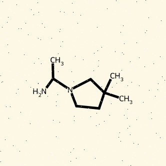 CC(N)N1CCC(C)(C)C1